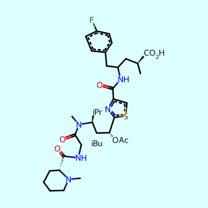 CC[C@H](C)C(NC(=O)[C@H]1CCCCN1C)C(=O)N(C)[C@H](C[C@@H](OC(C)=O)c1nc(C(=O)NC(Cc2ccc(F)cc2)C[C@H](C)C(=O)O)cs1)C(C)C